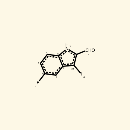 O=Cc1[nH]c2ccc(F)cc2c1I